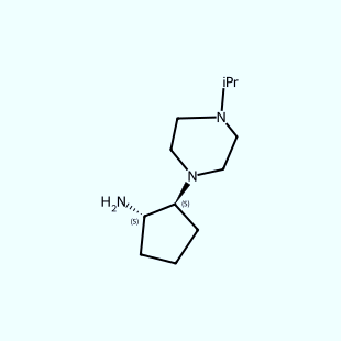 CC(C)N1CCN([C@H]2CCC[C@@H]2N)CC1